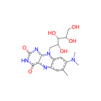 Cc1cc2nc3c(=O)[nH]c(=O)nc-3n(CC(O)C(O)C(O)CO)c2cc1N(C)C